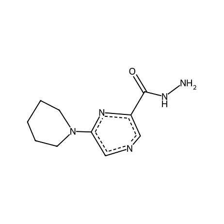 NNC(=O)c1cncc(N2CCCCC2)n1